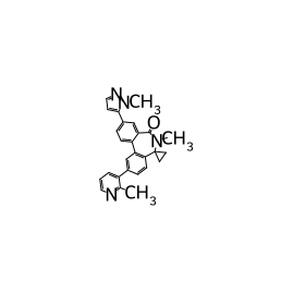 Cc1ncccc1-c1ccc2c(c1)-c1ccc(-c3ccnn3C)cc1C(=O)N(C)C21CC1